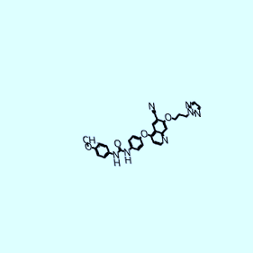 COc1ccc(NC(=O)Nc2ccc(Oc3ccnc4cc(OCCCn5nccn5)c(C#N)cc34)cc2)cc1